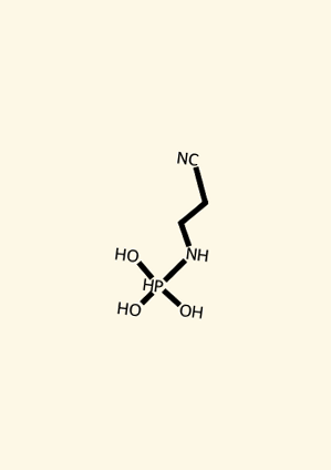 N#CCCN[PH](O)(O)O